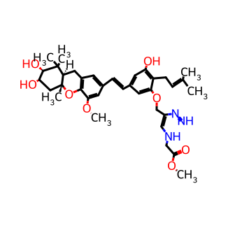 COC(=O)CN/C=C(/COc1cc(/C=C/c2cc3c(c(OC)c2)O[C@]2(C)C[C@@H](O)[C@@H](O)C(C)(C)[C@H]2C3)cc(O)c1CC=C(C)C)N=N